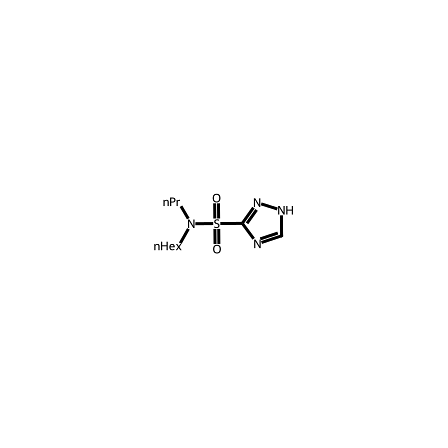 CCCCCCN(CCC)S(=O)(=O)c1nc[nH]n1